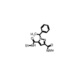 CCNC(=O)c1cc(C(=O)NC)nn1C(C)c1ccccc1